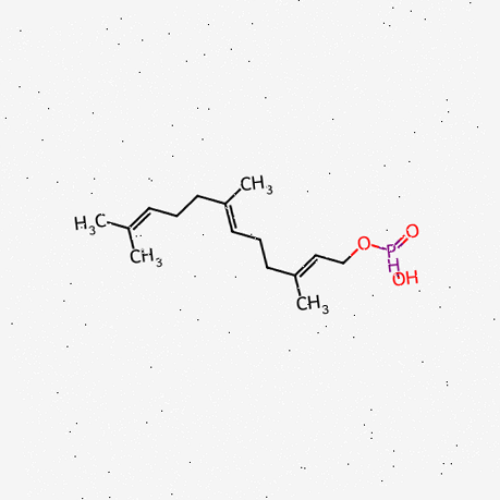 CC(C)=CCCC(C)=CCCC(C)=CCO[PH](=O)O